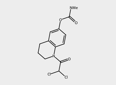 CNC(=O)Oc1ccc2c(c1)CCCN2C(=O)C(Cl)Cl